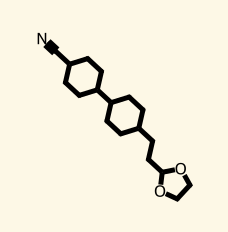 N#CC1CCC(C2CCC(CCC3OCCO3)CC2)CC1